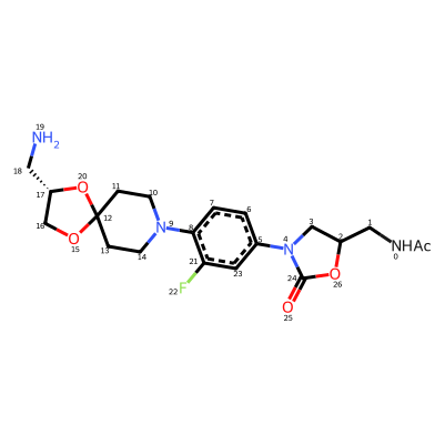 CC(=O)NCC1CN(c2ccc(N3CCC4(CC3)OC[C@H](CN)O4)c(F)c2)C(=O)O1